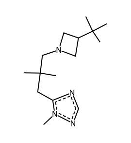 Cn1ncnc1CC(C)(C)CN1CC(C(C)(C)C)C1